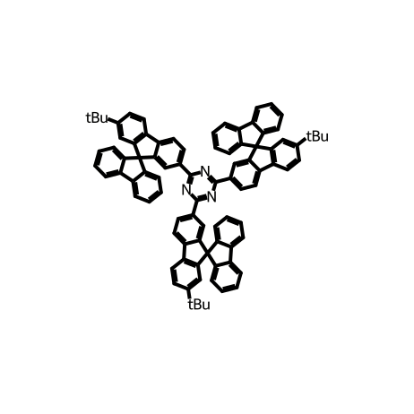 CC(C)(C)c1ccc2c(c1)C1(c3ccccc3-c3ccccc31)c1cc(-c3nc(-c4ccc5c(c4)C4(c6ccccc6-c6ccccc64)c4cc(C(C)(C)C)ccc4-5)nc(-c4ccc5c(c4)C4(c6ccccc6-c6ccccc64)c4cc(C(C)(C)C)ccc4-5)n3)ccc1-2